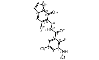 CCNc1cc(Cl)cc(C(=O)NCc2c(C(F)(F)F)cc3cc[nH]n3c2=O)c1C